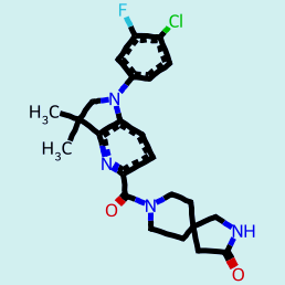 CC1(C)CN(c2ccc(Cl)c(F)c2)c2ccc(C(=O)N3CCC4(CC3)CNC(=O)C4)nc21